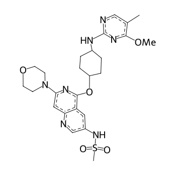 COc1nc(NC2CCC(Oc3nc(N4CCOCC4)cc4ncc(NS(C)(=O)=O)cc34)CC2)ncc1C